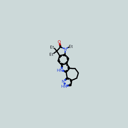 CCN1C(=O)C(CC)(CC)c2cc3[nH]c4c(c3cc21)CCCc1c[nH]nc1-4